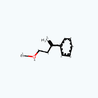 C=C(CCOCC)c1ccccc1